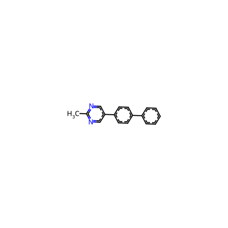 Cc1ncc(-c2ccc(-c3ccccc3)cc2)cn1